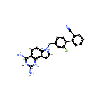 N#Cc1ccccc1-c1ccc(Cn2ccc3c4nc(N)nc(N)c4ccc32)cc1F